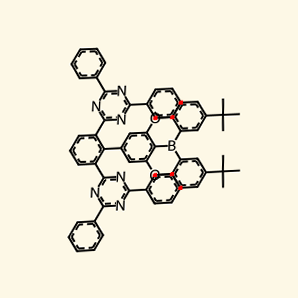 CC(C)(C)c1ccc2c(c1)B1c3cc(C(C)(C)C)ccc3Oc3cc(-c4c(-c5nc(-c6ccccc6)nc(-c6ccccc6)n5)cccc4-c4nc(-c5ccccc5)nc(-c5ccccc5)n4)cc(c31)O2